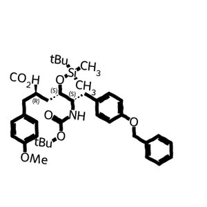 COc1ccc(C[C@H](C[C@H](O[Si](C)(C)C(C)(C)C)[C@H](Cc2ccc(OCc3ccccc3)cc2)NC(=O)OC(C)(C)C)C(=O)O)cc1